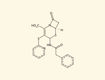 O=C(Cc1ccccc1)NC1S[C@@H]2CC(=O)N2C(C(=O)O)=C1Sc1ccccn1